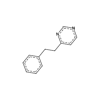 [c]1nccc(CCc2ccccc2)n1